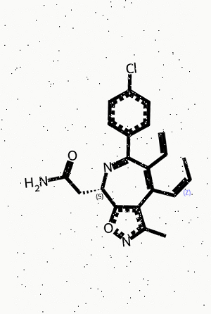 C=CC1=C(/C=C\C)c2c(C)noc2[C@H](CC(N)=O)N=C1c1ccc(Cl)cc1